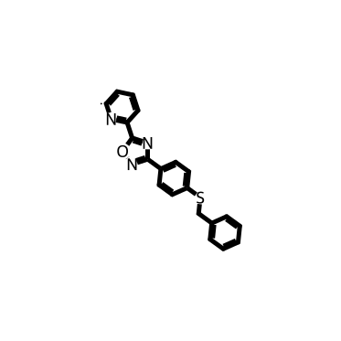 [c]1cccc(-c2nc(-c3ccc(SCc4ccccc4)cc3)no2)n1